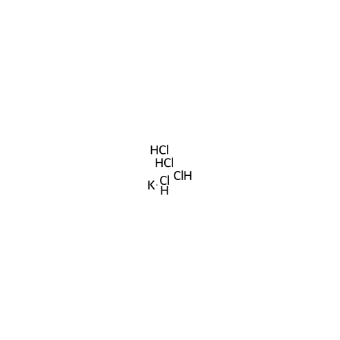 Cl.Cl.Cl.Cl.[K]